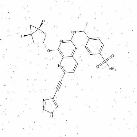 C[C@@H](Nc1nc(O[C@@H]2C[C@@H]3C[C@@H]3C2)c2nc(C#Cc3c[nH]cn3)ccc2n1)c1ccc(S(N)(=O)=O)cc1